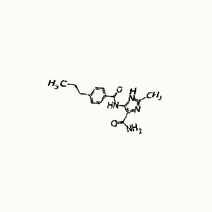 CCCc1ccc(C(=O)Nc2[nH]c(C)nc2C(N)=O)cc1